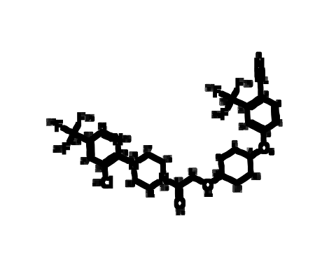 N#Cc1ccc(OC2CCC(OCC(=O)N3CCN(c4ncc(C(F)(F)F)cc4Cl)CC3)CC2)cc1C(F)(F)F